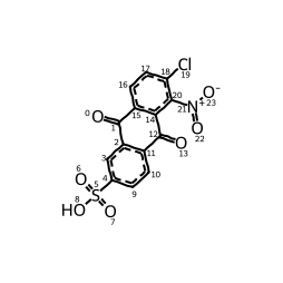 O=C1c2cc(S(=O)(=O)O)ccc2C(=O)c2c1ccc(Cl)c2[N+](=O)[O-]